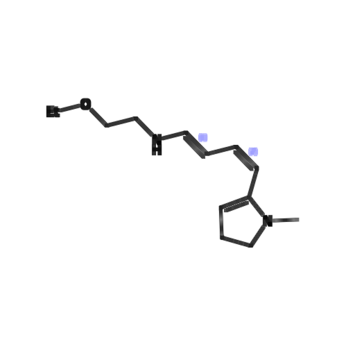 CCOCCN/C=C/C=C\C1=CCCN1C